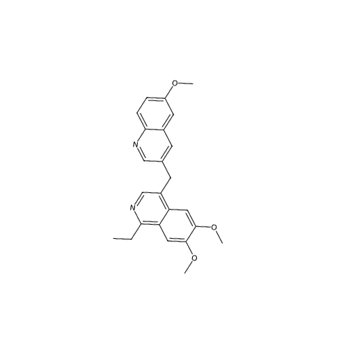 CCc1ncc(Cc2cnc3ccc(OC)cc3c2)c2cc(OC)c(OC)cc12